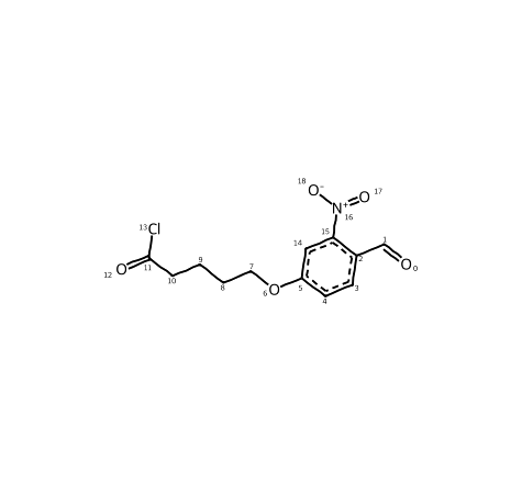 O=Cc1ccc(OCCCCC(=O)Cl)cc1[N+](=O)[O-]